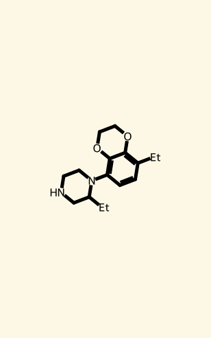 CCc1ccc(N2CCNCC2CC)c2c1OCCO2